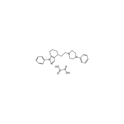 O=C(O)C(=O)O.c1ccc(N2CCN(CCC3CCCc4c3cnn4-c3ccccc3)CC2)cc1